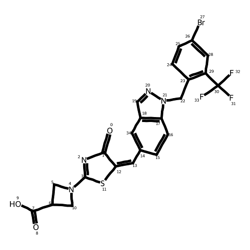 O=C1N=C(N2CC(C(=O)O)C2)SC1=Cc1ccc2c(cnn2Cc2ccc(Br)cc2C(F)(F)F)c1